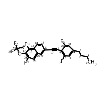 CCCCc1cc(F)c(C#Cc2ccc3c(F)c(OC(F)(F)F)c(F)cc3c2)c(F)c1